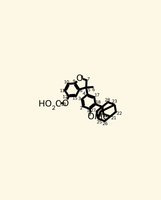 COc1ccc(C2(C)COc3ccc(OC(=O)O)cc32)cc1C12CC3CC(CC(C3)C1)C2